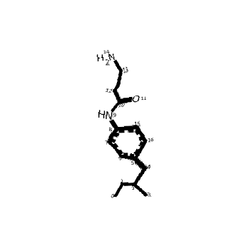 CCC(C)Cc1ccc(NC(=O)CCN)cc1